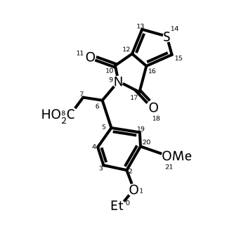 CCOc1ccc(C(CC(=O)O)N2C(=O)c3cscc3C2=O)cc1OC